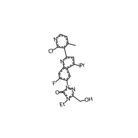 CCn1c(CO)nn(-c2cc3c(C(C)C)cc(-c4c(C)ccnc4Cl)nc3cc2F)c1=O